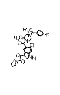 C[C@H](c1ccc(F)cc1)N1CCN(C(=O)c2cc3c(cc2Cl)NCC3C(=O)C(=O)N2CCCC2)[C@H](C)C1